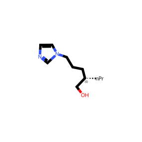 CCC[C@H](CO)CCCn1ccnc1